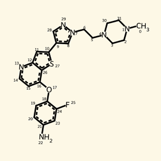 CN1CCN(CCn2cc(-c3cc4nccc(Oc5ccc(N)cc5F)c4s3)cn2)CC1